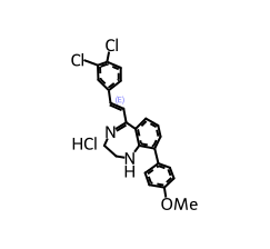 COc1ccc(-c2cccc3c2NCCN=C3/C=C/c2ccc(Cl)c(Cl)c2)cc1.Cl